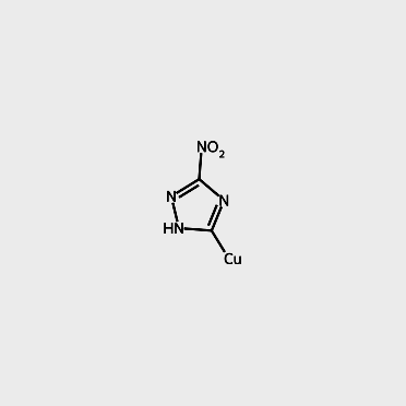 O=[N+]([O-])c1n[nH][c]([Cu])n1